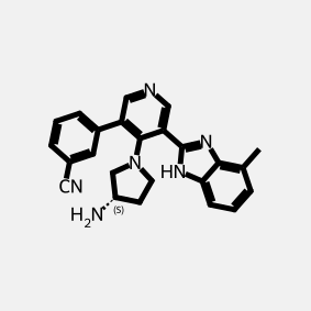 Cc1cccc2[nH]c(-c3cncc(-c4cccc(C#N)c4)c3N3CC[C@H](N)C3)nc12